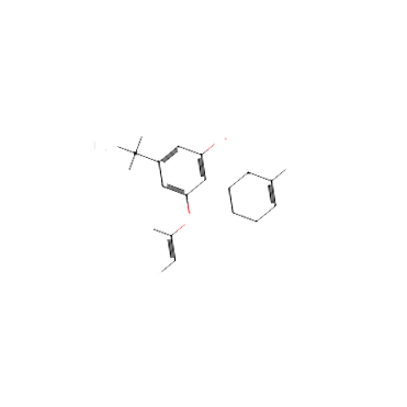 C/C=C(\C)Oc1cc(C(C)(C)C)cc(O)c1[C@H]1CCC=C(C)C1